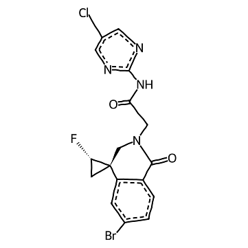 O=C(CN1C[C@]2(C[C@@H]2F)c2cc(Br)ccc2C1=O)Nc1ncc(Cl)cn1